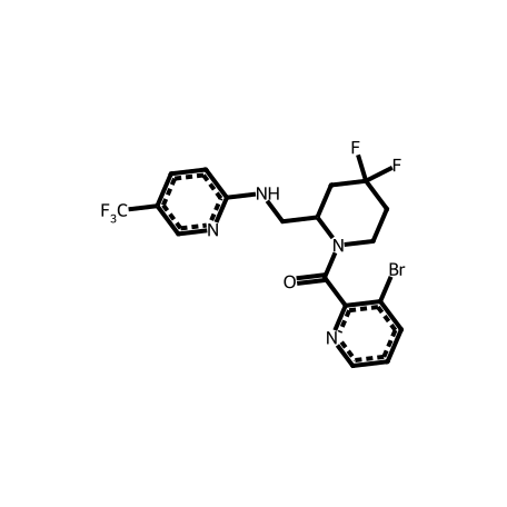 O=C(c1ncccc1Br)N1CCC(F)(F)CC1CNc1ccc(C(F)(F)F)cn1